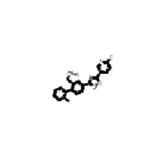 COCc1cc(-c2nc(-c3ccc(Cl)nc3)no2)ccc1-c1ccccc1C